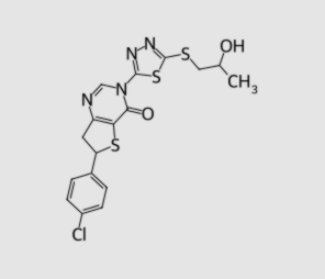 CC(O)CSc1nnc(-n2cnc3c(c2=O)SC(c2ccc(Cl)cc2)C3)s1